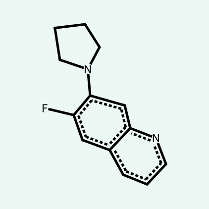 Fc1cc2cccnc2cc1N1CCCC1